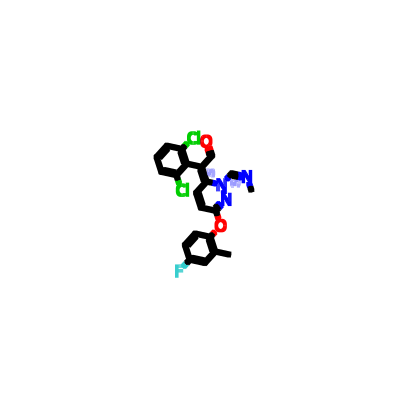 C/N=C\N1N=C(Oc2ccc(F)cc2C)C=C/C1=C(/C=O)c1c(Cl)cccc1Cl